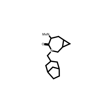 CNC1CC2CC2CN(CC2CC3CCC(C3)C2)C1=O